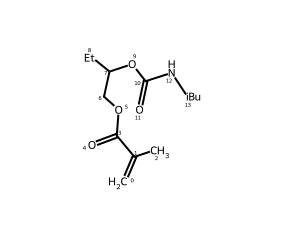 C=C(C)C(=O)OCC(CC)OC(=O)NC(C)CC